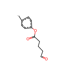 [CH2]c1ccc(OC(=O)CCCC=O)cc1